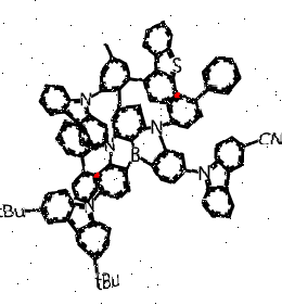 Cc1cc(-c2cccc3sc4ccccc4c23)c(-c2cc3c4c(c2)N(c2ccccc2-c2ccccc2)c2cc(-n5c6ccc(C(C)(C)C)cc6c6cc(C(C)(C)C)ccc65)ccc2B4c2ccc(-n4c5ccccc5c5cc(C#N)ccc54)cc2N3c2ccc(-c3ccccc3)cc2)c(-n2c3ccccc3c3ccccc32)c1